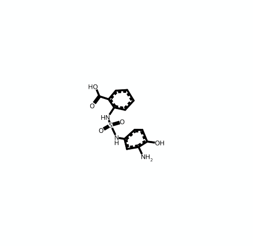 Nc1cc(NS(=O)(=O)Nc2ccccc2C(=O)O)ccc1O